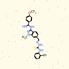 CC(C)c1ccccc1NC(=S)NN=Cc1ccc2c(NC(=N)c3ccc(OC(F)(F)F)cc3)nn(C)c2c1